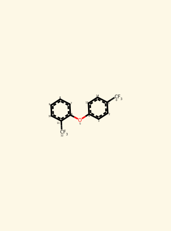 FC(F)(F)c1ccc(Oc2ccccc2C(F)(F)F)cc1